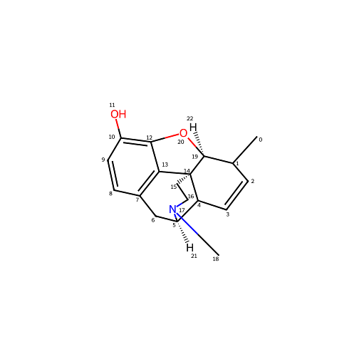 CC1C=CC2[C@H]3Cc4ccc(O)c5c4[C@@]2(CCN3C)[C@H]1O5